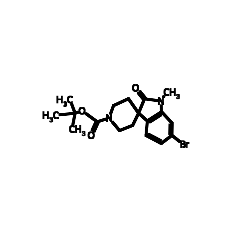 CN1C(=O)C2(CCN(C(=O)OC(C)(C)C)CC2)c2ccc(Br)cc21